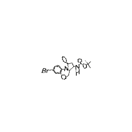 CC(C)(C)OC(=O)NC1CC(=O)N2c3ccc(Br)cc3OCC12